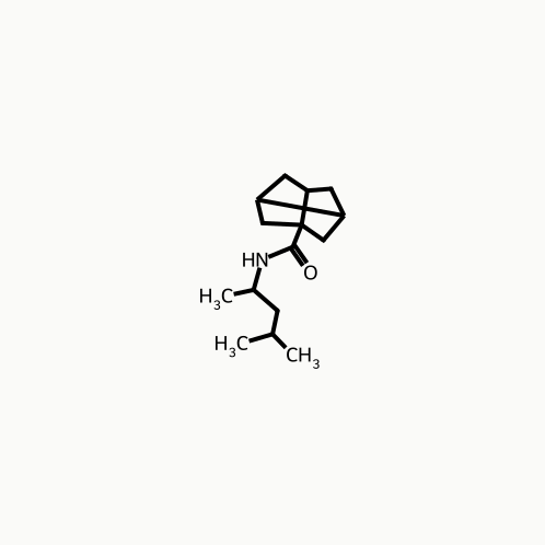 CC(C)CC(C)NC(=O)C12CC3CC1CC3C2